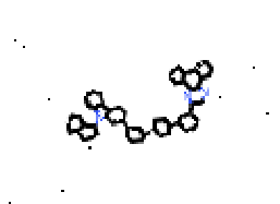 C1=C(c2cccc(-c3ccc(-c4cccc(-c5cnc6c7ccccc7c7ccccc7c6n5)c4)cc3)c2)CCc2c1n(-c1cccc3ccccc13)c1ccccc21